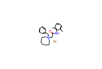 Cc1cccc(C)c1NC(=O)C[N+]1(Cc2ccccc2)CCCCCCC1.[Br-]